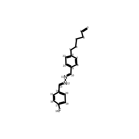 C=CCCCCc1ccc(C=NN=Cc2ccc(F)cc2)cc1